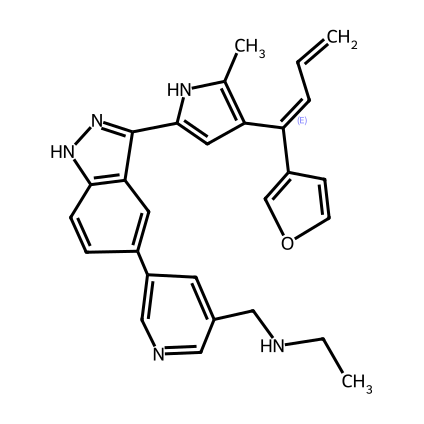 C=C/C=C(/c1ccoc1)c1cc(-c2n[nH]c3ccc(-c4cncc(CNCC)c4)cc23)[nH]c1C